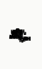 COc1c(-c2cc3c(s2)CCCC3CO)c(F)c(N)c2c(=O)[nH]c(=O)n(C3CC3)c12